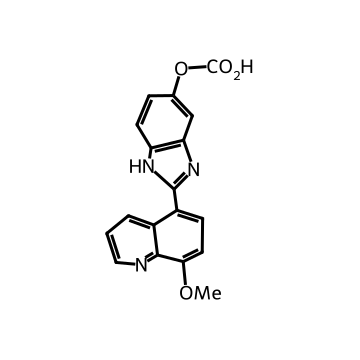 COc1ccc(-c2nc3cc(OC(=O)O)ccc3[nH]2)c2cccnc12